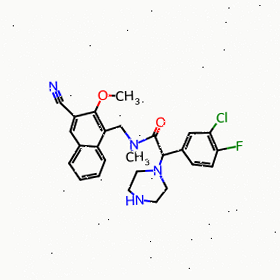 COc1c(C#N)cc2ccccc2c1CN(C)C(=O)C(c1ccc(F)c(Cl)c1)N1CCNCC1